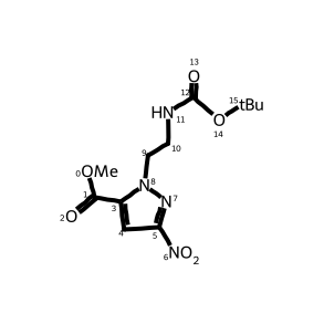 COC(=O)c1cc([N+](=O)[O-])nn1CCNC(=O)OC(C)(C)C